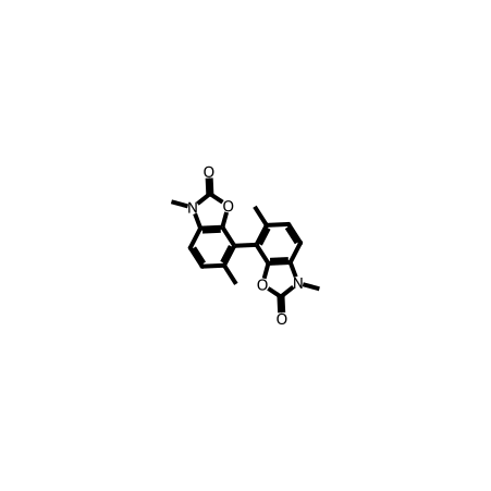 Cc1ccc2c(oc(=O)n2C)c1-c1c(C)ccc2c1oc(=O)n2C